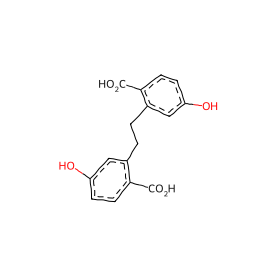 O=C(O)c1ccc(O)cc1CCc1cc(O)ccc1C(=O)O